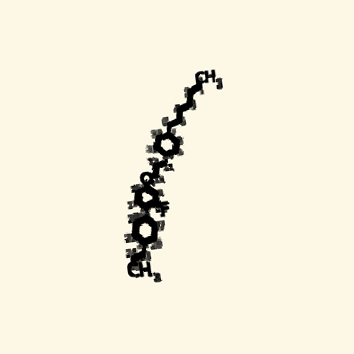 CCCCCCC[C@H]1CC[C@H](CCCOc2ccc([C@H]3CC[C@H](CCC)CC3)c(F)c2)CC1